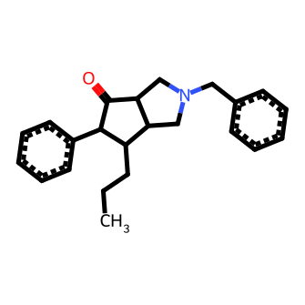 CCCC1C(c2ccccc2)C(=O)C2CN(Cc3ccccc3)CC21